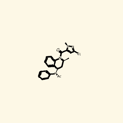 CCc1cc(C(=O)N2c3ccccc3[C@H](N(C(C)=O)c3ccccc3)C[C@@H]2C)n(C)n1